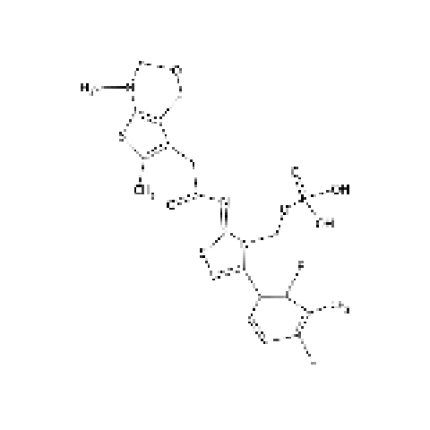 Cc1sc2c(c1CC(=O)/N=c1\scc(-c3ccc(F)c(C(F)(F)F)c3F)n1COP(=O)(O)O)COCN2C